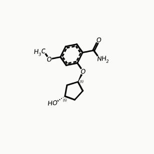 COc1ccc(C(N)=O)c(O[C@H]2CC[C@H](O)C2)c1